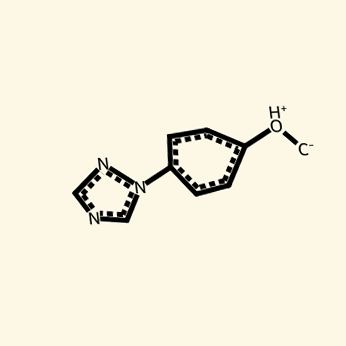 [CH2-][OH+]c1ccc(-n2cncn2)cc1